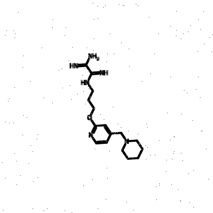 N=C(N)C(=N)NCCCOc1cc(CN2CCCCC2)ccn1